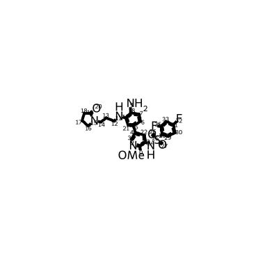 COc1ncc(-c2ccc(N)c(NCCCN3CCCC3=O)c2)cc1NS(=O)(=O)c1ccc(F)cc1F